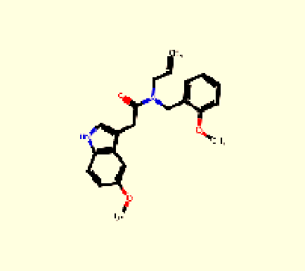 C=CCN(Cc1ccccc1OC)C(=O)Cc1c[nH]c2ccc(OC)cc12